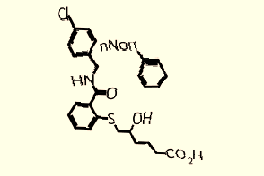 CCCCCCCCCc1ccccc1.O=C(O)CCCC(O)CSc1ccccc1C(=O)NCc1ccc(Cl)cc1